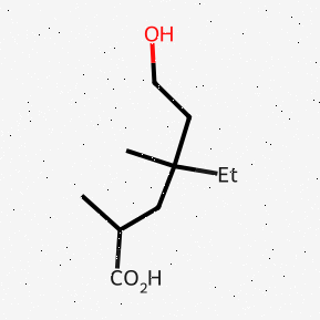 CCC(C)(CCO)CC(C)C(=O)O